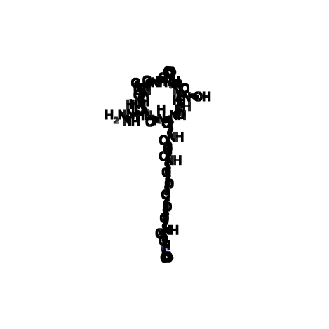 C[C@@H]1NC(=O)[C@H](CCCCNC(=O)COCC(=O)NCCOCCOCCOCCOCCOCCNC(=O)CO/N=C/c2ccccc2)NC(=O)CSC[C@@H](C(=O)NCCO)NC(=O)[C@H](Cc2ccccc2)NC(=O)[C@H](C)NC(=O)[C@H](CC(=O)O)NC(=O)CNC(=O)[C@H](CCCNC(=N)N)NC1=O